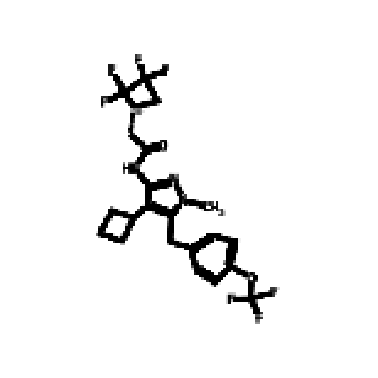 Cn1nc(NC(=O)C[C@H]2CC(F)(F)C2(F)F)c(C2CCC2)c1Cc1ccc(OC(F)(F)F)cc1